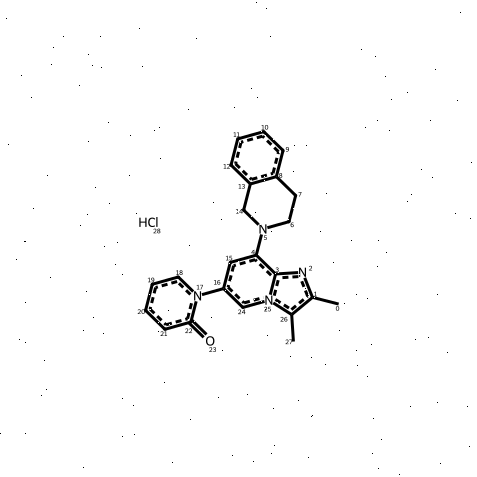 Cc1nc2c(N3CCc4ccccc4C3)cc(-n3ccccc3=O)cn2c1C.Cl